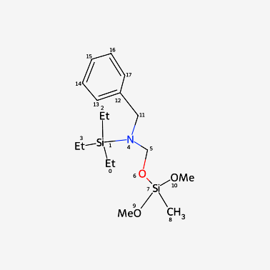 CC[Si](CC)(CC)N(CO[Si](C)(OC)OC)Cc1ccccc1